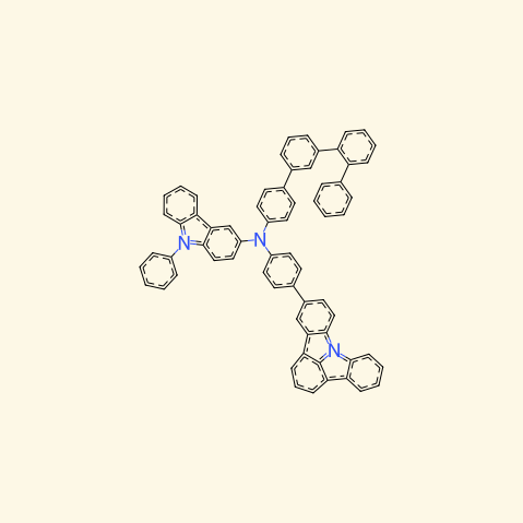 c1ccc(-c2ccccc2-c2cccc(-c3ccc(N(c4ccc(-c5ccc6c(c5)c5cccc7c8ccccc8n6c75)cc4)c4ccc5c(c4)c4ccccc4n5-c4ccccc4)cc3)c2)cc1